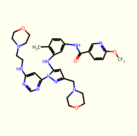 Cc1ccc(NC(=O)c2ccc(OC(F)(F)F)nc2)cc1Nc1cc(CN2CCOCC2)nn1-c1cc(NCCN2CCOCC2)ncn1